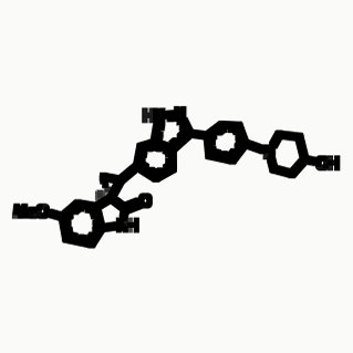 COc1ccc2c(c1)[C@]1(CC1c1ccc3c(-c4ccc(N5CCC(O)CC5)cc4)n[nH]c3c1)C(=O)N2